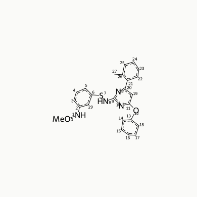 CONc1cccc(SNc2nc(Oc3ccccc3)cc(-c3ccccc3C)n2)c1